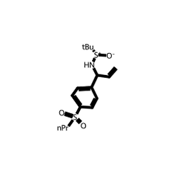 C=CC(N[S+]([O-])C(C)(C)C)c1ccc(S(=O)(=O)CCC)cc1